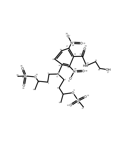 CC(CCN(CCC(C)OS(C)(=O)=O)c1ccc([N+](=O)[O-])c(C(=O)NCCO)c1[N+](=O)[O-])OS(C)(=O)=O